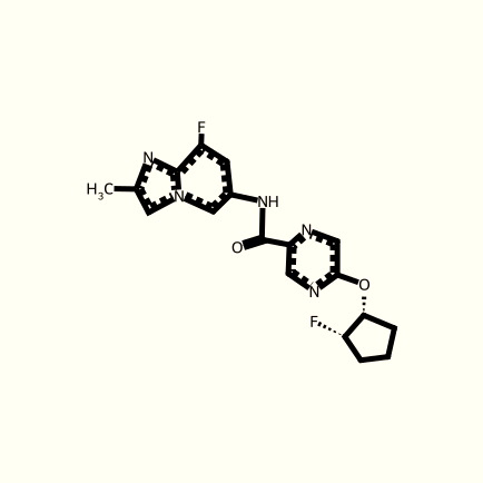 Cc1cn2cc(NC(=O)c3cnc(O[C@@H]4CCC[C@@H]4F)cn3)cc(F)c2n1